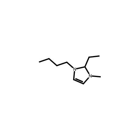 CCCCN1C=CN(C)C1CC